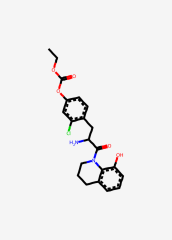 CCOC(=O)Oc1ccc(CC(N)C(=O)N2CCCc3cccc(O)c32)c(Cl)c1